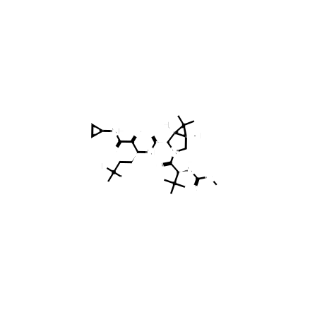 COC(=O)N[C@H](C(=O)N1C[C@H]2[C@@H]([C@H]1C(=O)N[C@@H](CCC(C)(F)F)C(=O)C(=O)NC1CC1)C2(C)C)C(C)(C)C